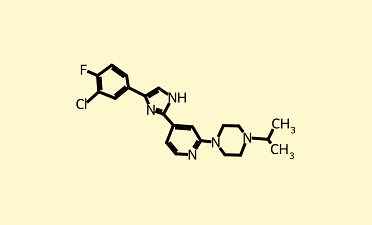 CC(C)N1CCN(c2cc(-c3nc(-c4ccc(F)c(Cl)c4)c[nH]3)ccn2)CC1